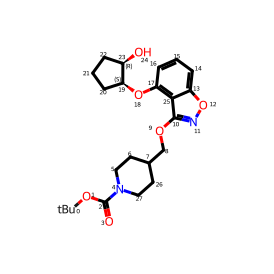 CC(C)(C)OC(=O)N1CCC(COc2noc3cccc(O[C@H]4CCC[C@H]4O)c23)CC1